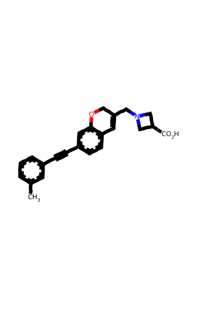 Cc1cccc(C#Cc2ccc3c(c2)OCC(CN2CC(C(=O)O)C2)=C3)c1